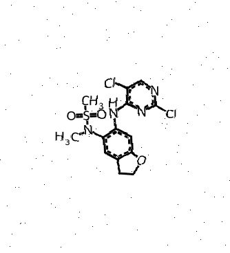 CN(c1cc2c(cc1Nc1nc(Cl)ncc1Cl)OCC2)S(C)(=O)=O